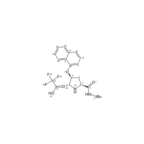 CC(C)(C)NC(=O)[C@@H]1C[C@H](Oc2cccc3ccccc23)CN1.O=C(O)C(F)(F)F